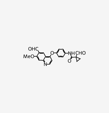 COc1cc2nccc(Oc3ccc(NC(=O)C4(C=O)CC4)cc3)c2cc1C=O